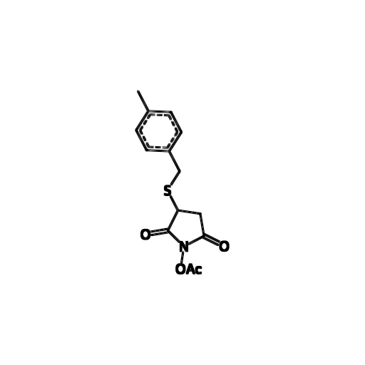 CC(=O)ON1C(=O)CC(SCc2ccc(C)cc2)C1=O